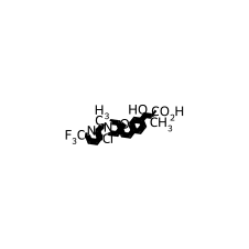 CC(c1nc(C(F)(F)F)ccc1Cl)N1CCC2(CCc3ccc([C@H](O)[C@H](C)C(=O)O)cc3O2)CC1